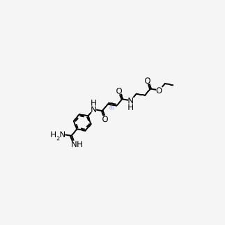 CCOC(=O)CCNC(=O)/C=C/C(=O)Nc1ccc(C(=N)N)cc1